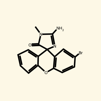 CN1C(=O)C2(N=C1N)c1ccccc1Oc1ccc(Br)cc12